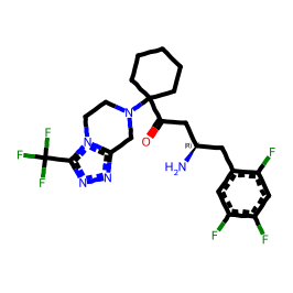 N[C@@H](CC(=O)C1(N2CCn3c(nnc3C(F)(F)F)C2)CCCCC1)Cc1cc(F)c(F)cc1F